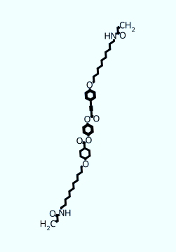 C=CC(=O)NCCCCCCCCCCCOc1ccc(C#CC(=O)Oc2ccc(OC(=O)C3CCC(OCCCCCCCCCCCNC(=O)C=C)CC3)cc2)cc1